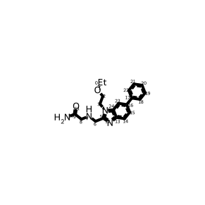 CCOCCn1c(CNCC(N)=O)nc2ccc(-c3ccccc3)cc21